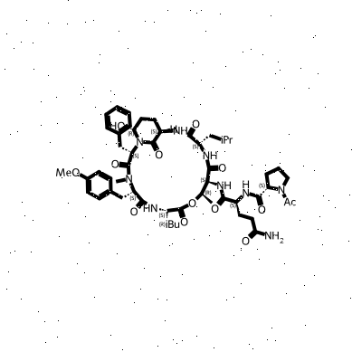 CC[C@@H](C)[C@@H]1NC(=O)[C@H](Cc2ccc(OC)cc2)N(C)C(=O)[C@H](Cc2ccccc2)N2C(=O)[C@H](CC[C@H]2O)NC(=O)[C@H](CC(C)C)NC(=O)[C@@H](NC(=O)[C@H](CCC(N)=O)NC(=O)[C@@H]2CCCN2C(C)=O)[C@@H](C)OC1=O